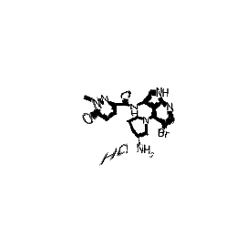 Cl.Cn1nc(C(=O)Nc2c[nH]c3ncc(Br)c(N4CCC[C@@H](N)C4)c23)ccc1=O